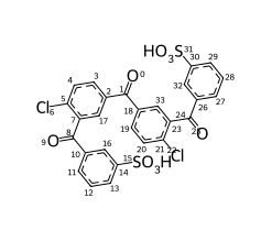 O=C(c1ccc(Cl)c(C(=O)c2cccc(S(=O)(=O)O)c2)c1)c1ccc(Cl)c(C(=O)c2cccc(S(=O)(=O)O)c2)c1